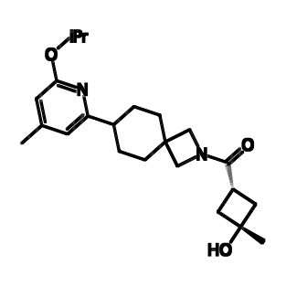 Cc1cc(OC(C)C)nc(C2CCC3(CC2)CN(C(=O)[C@H]2C[C@@](C)(O)C2)C3)c1